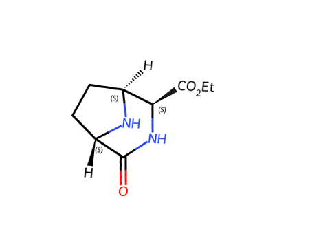 CCOC(=O)[C@H]1NC(=O)[C@@H]2CC[C@@H]1N2